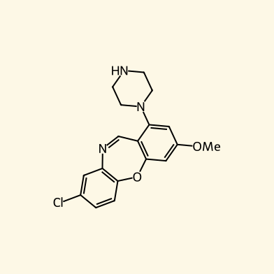 COc1cc2c(c(N3CCNCC3)c1)C=Nc1cc(Cl)ccc1O2